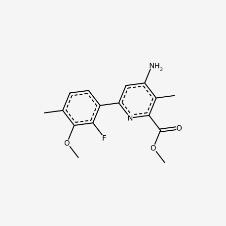 COC(=O)c1nc(-c2ccc(C)c(OC)c2F)cc(N)c1C